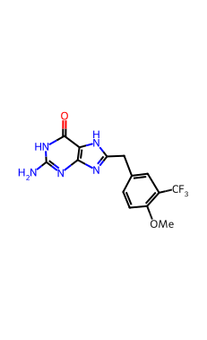 COc1ccc(Cc2nc3nc(N)[nH]c(=O)c3[nH]2)cc1C(F)(F)F